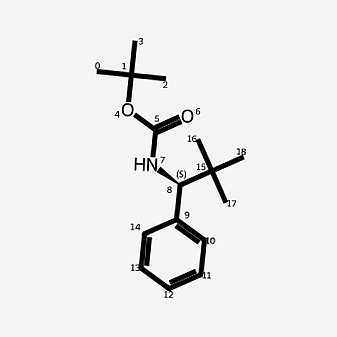 CC(C)(C)OC(=O)N[C@H](c1ccccc1)C(C)(C)C